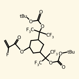 C=C(F)C(=O)OC1CC(C(OC(=O)OC(C)(C)C)(C(F)(F)F)C(F)(F)F)CC(C(OC(=O)OC(C)(C)C)(C(F)(F)F)C(F)(F)F)C1